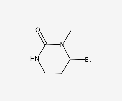 CCC1CCNC(=O)N1C